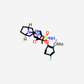 COc1cc(F)ccc1OC(C)(C)C(=O)N[C@H]1C[C@H]2CC[C@@H](C1)N2c1ccc(S(N)(=O)=O)cn1